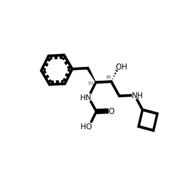 O=C(O)N[C@@H](Cc1ccccc1)[C@H](O)CNC1CCC1